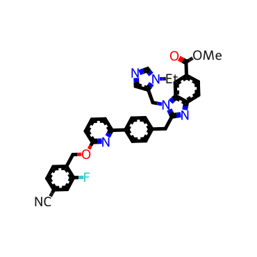 CCn1cncc1Cn1c(Cc2ccc(-c3cccc(OCc4ccc(C#N)cc4F)n3)cc2)nc2ccc(C(=O)OC)cc21